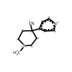 CN1CCC(C#N)(c2ccncc2)CC1